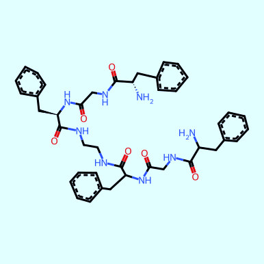 NC(Cc1ccccc1)C(=O)NCC(=O)NC(Cc1ccccc1)C(=O)NCCNC(=O)[C@@H](Cc1ccccc1)NC(=O)CNC(=O)[C@@H](N)Cc1ccccc1